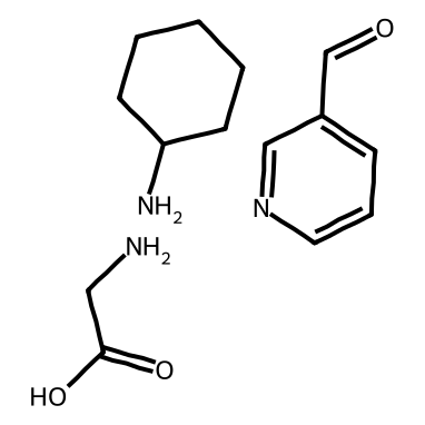 NC1CCCCC1.NCC(=O)O.O=Cc1cccnc1